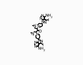 CN(C)CC(C(=O)C(CN(C)C)N1CCC(n2nc(I)c3c(N)ncnc32)CC1)N1CCC(n2nc(I)c3c(N)ncnc32)CC1